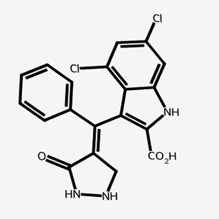 O=C1NNCC1=C(c1ccccc1)c1c(C(=O)O)[nH]c2cc(Cl)cc(Cl)c12